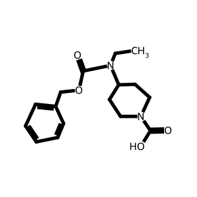 CCN(C(=O)OCc1ccccc1)C1CCN(C(=O)O)CC1